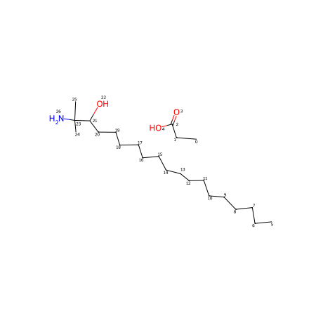 CCC(=O)O.CCCCCCCCCCCCCCCCC(O)C(C)(C)N